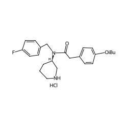 CC(C)COc1ccc(CC(=O)N(Cc2ccc(F)cc2)[C@@H]2CCCNC2)cc1.Cl